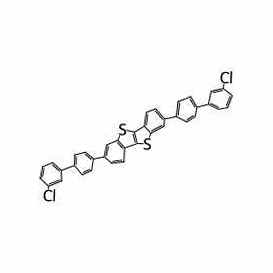 Clc1cccc(-c2ccc(-c3ccc4c(c3)sc3c5ccc(-c6ccc(-c7cccc(Cl)c7)cc6)cc5sc43)cc2)c1